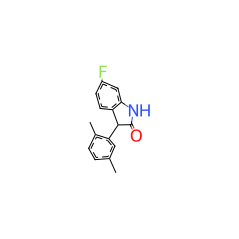 Cc1ccc(C)c(C2C(=O)Nc3cc(F)ccc32)c1